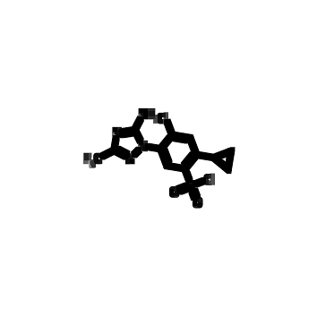 Nc1nc(C(F)(F)F)nn1-c1cc(S(=O)(=O)Cl)c(C2CC2)cc1Cl